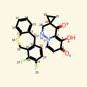 O=C1c2c(O)c(=O)ccn2N([C@H]2c3ccccc3SCc3c2ccc(F)c3F)CC12CC2